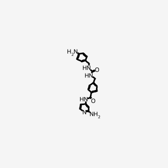 Nc1ccc(CNC(=O)NCc2ccc(C(=O)Nc3ccnc(N)c3)cc2)cc1